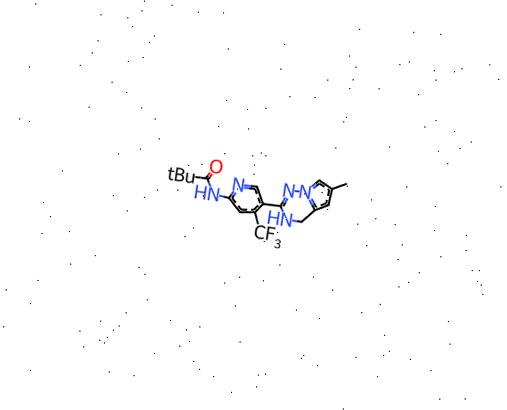 Cc1cc2n(c1)N=C(c1cnc(NC(=O)C(C)(C)C)cc1C(F)(F)F)NC2